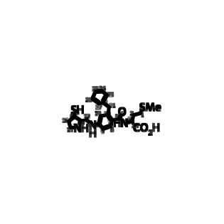 CSCC[C@H](NC(=O)c1ccc(NC[C@H]2NCC[C@H]2S)cc1Cc1ccccc1)C(=O)O